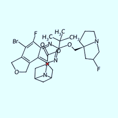 CC(C)(C)OC(=O)N1CC2CC(C1)N2c1nc(OC[C@@]23CCCN2CC(F)C3)nc2c(F)c(Br)c3c(c12)COC3